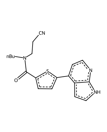 CCCCN(CCC#N)C(=O)c1ccc(-c2ccnc3[nH]ccc23)s1